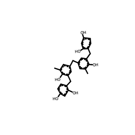 Cc1cc(Cc2cc(C)c(O)c(Cc3ccc(O)cc3O)c2)cc(Cc2ccc(O)cc2O)c1O